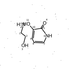 NCCO.O=c1[nH]cccc1O